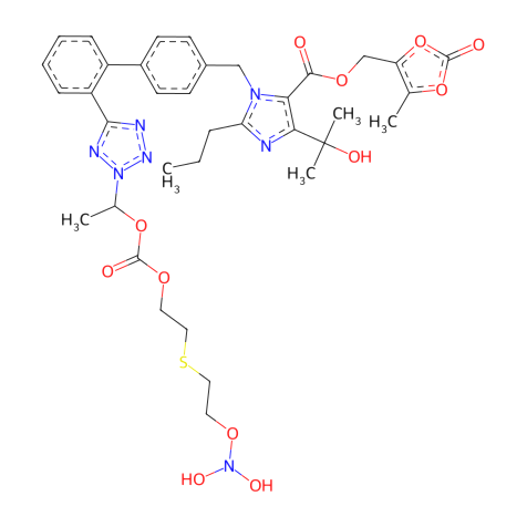 CCCc1nc(C(C)(C)O)c(C(=O)OCc2oc(=O)oc2C)n1Cc1ccc(-c2ccccc2-c2nnn(C(C)OC(=O)OCCSCCON(O)O)n2)cc1